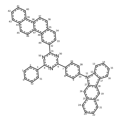 c1ccc(-c2nc(-c3ccc(-n4c5ccccc5c5cc6ccccc6cc54)cc3)nc(-c3ccc4ccc5c6ccccc6ccc5c4c3)n2)cc1